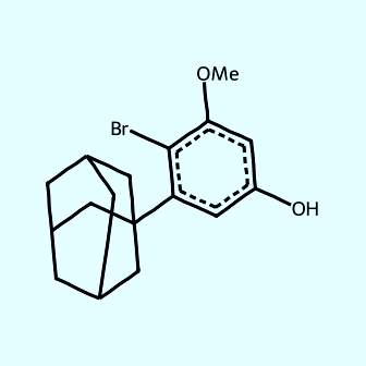 COc1cc(O)cc(C23CC4CC(CC(C4)C2)C3)c1Br